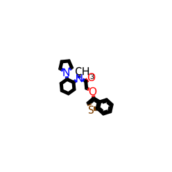 CN(C(=O)COc1csc2ccccc12)C1CCCCC1N1CCCC1